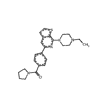 CCN1CCN(c2nc(-c3ccc(C(=O)N4CCCC4)cc3)cc3ccsc23)CC1